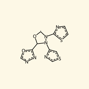 [CH]1OC(c2nnco2)N(c2cscn2)N1c1nccs1